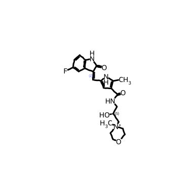 Cc1[nH]c(/C=C2\C(=O)Nc3ccc(F)cc32)cc1C(=O)NC[C@H](O)C[N+]1(C)CCOCC1